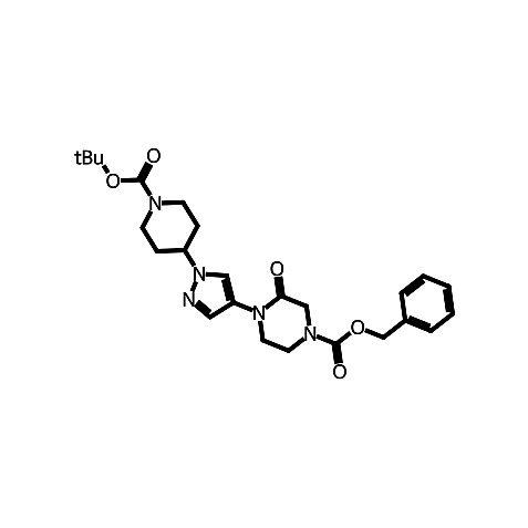 CC(C)(C)OC(=O)N1CCC(n2cc(N3CCN(C(=O)OCc4ccccc4)CC3=O)cn2)CC1